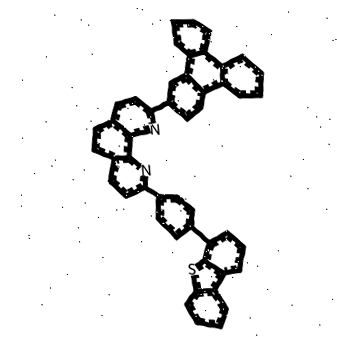 c1ccc2c(c1)sc1c(-c3ccc(-c4ccc5ccc6ccc(-c7ccc8c9ccccc9c9ccccc9c8c7)nc6c5n4)cc3)cccc12